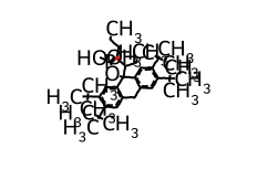 CCCCC(CC)C1(OP(O)O)c2cc(C(C)(C)C)c(C(C)(C)C)cc2Cc2cc(C(C)(C)C)c(C(C)(C)C)cc21